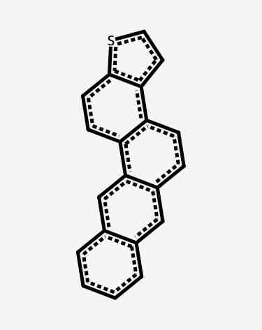 c1ccc2cc3c(ccc4c5ccsc5ccc34)cc2c1